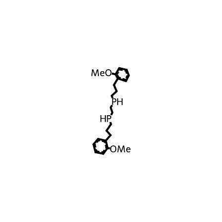 COc1ccccc1CCCPCCPCCCc1ccccc1OC